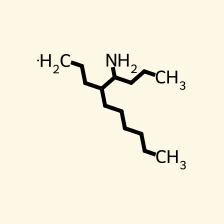 [CH2]CCC(CCCCCC)C(N)CCC